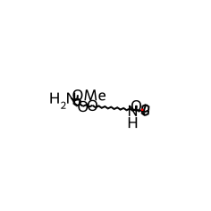 COc1cc(OCCOCCCCCCCCCCCCNC(=O)CC23CC4CC(CC(C4)C2)C3)ccc1N